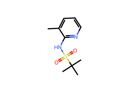 Cc1cccnc1NS(=O)(=O)C(C)(C)C